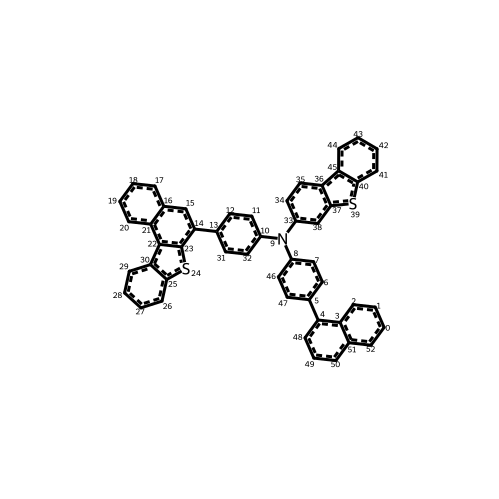 c1ccc2c(-c3ccc(N(c4ccc(-c5cc6ccccc6c6c5sc5ccccc56)cc4)c4ccc5c(c4)sc4ccccc45)cc3)cccc2c1